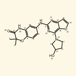 CC1(C)Oc2ccc(Nc3nc(N4CCC(O)C4)c4occc4n3)cc2NC1=O